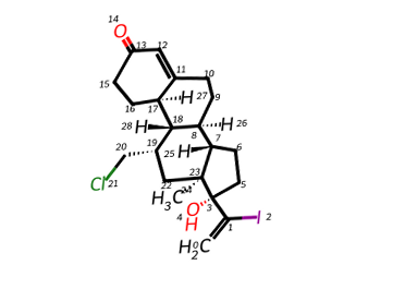 C=C(I)[C@]1(O)CC[C@H]2[C@@H]3CCC4=CC(=O)CC[C@@H]4[C@H]3[C@@H](CCl)C[C@@]21C